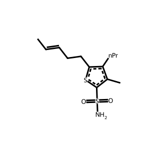 C/C=C/CCc1sc(S(N)(=O)=O)c(C)c1CCC